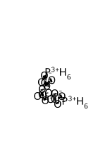 [O]=[Cr](=[O])([O-])[O-].[O]=[Cr](=[O])([O-])[O-].[O]=[Cr](=[O])([O-])[O-].[PH6+3].[PH6+3]